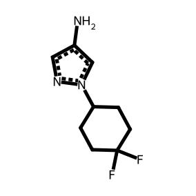 Nc1cnn(C2CCC(F)(F)CC2)c1